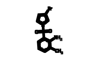 Cc1cccc(S(=O)(=O)n2ccc(Br)c2)c1N